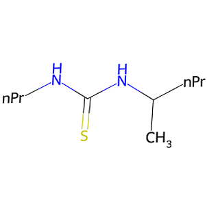 CCCNC(=S)NC(C)CCC